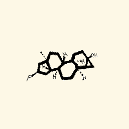 C[C@]12CC[C@@H]3[C@H]4CC[C@]5(O)CC5[C@H]4CC[C@H]3[C@@H]1C[C@@H](F)C2